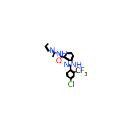 C/C=C\N=C(/C)NC(=O)c1cccc2[nH]c(-c3ccc(Cl)cc3C(F)(F)F)nc12